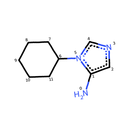 Nc1cncn1C1CCCCC1